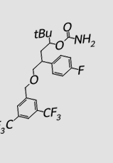 CC(C)(C)C(CC(COCc1cc(C(F)(F)F)cc(C(F)(F)F)c1)c1ccc(F)cc1)OC(N)=O